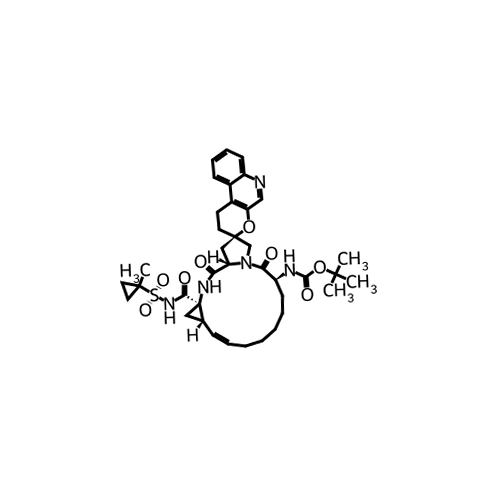 CC(C)(C)OC(=O)N[C@H]1CCCCC/C=C\[C@@H]2C[C@@]2(C(=O)NS(=O)(=O)C2(C)CC2)NC(=O)[C@@H]2C[C@]3(CCc4c(cnc5ccccc45)O3)CN2C1=O